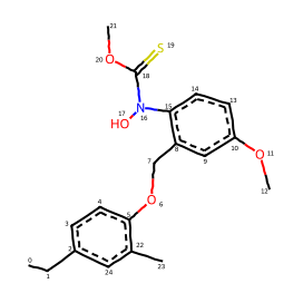 CCc1ccc(OCc2cc(OC)ccc2N(O)C(=S)OC)c(C)c1